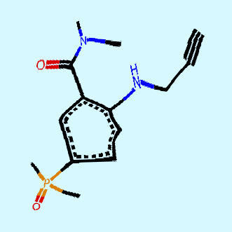 C#CCNc1ccc(P(C)(C)=O)cc1C(=O)N(C)C